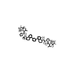 CN[C@@H](C)C(=O)N[C@H](C(=O)N1CCC[C@H]1C(=O)N[C@@H]1CCCc2c(-c3cccc(-c4cccc5c4CCC[C@H]5NC(=O)[C@@H]4CCCN4C(=O)[C@@H](NC(=O)[C@H](C)NC)C(C)C)c3)cccc21)C(C)C